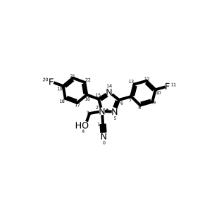 N#C[N+]1(CO)N=C(c2ccc(F)cc2)N=C1c1ccc(F)cc1